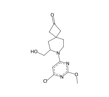 COc1nc(Cl)cc(N2CCC3(CC(=O)C3)CC2CO)n1